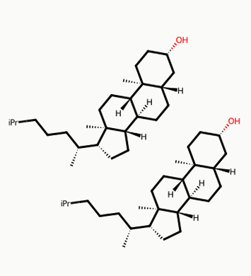 CC(C)CCC[C@@H](C)[C@H]1CC[C@H]2[C@@H]3CC[C@H]4C[C@@H](O)CC[C@]4(C)[C@H]3CC[C@]12C.CC(C)CCC[C@@H](C)[C@H]1CC[C@H]2[C@@H]3CC[C@H]4C[C@@H](O)CC[C@]4(C)[C@H]3CC[C@]12C